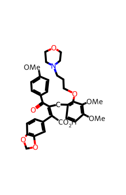 COc1ccc(C(=O)/C(Cc2ccc(OC)c(OC)c2OCCCN2CCOCC2)=C(/C(=O)O)c2ccc3c(c2)OCO3)cc1